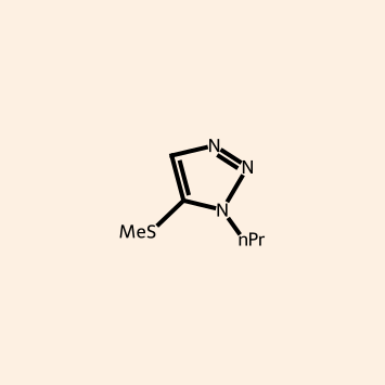 CCCn1nncc1SC